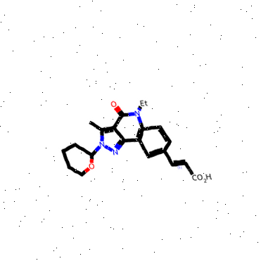 CCn1c(=O)c2c(C)n(C3CCCCO3)nc2c2cc(/C=C/C(=O)O)ccc21